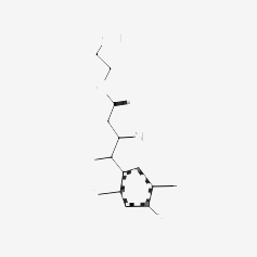 NC(CC(=O)OCCO)C(O)c1cc(F)c(F)cc1F